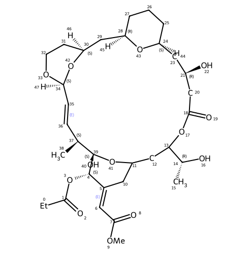 CCC(=O)O[C@H]1/C(=C/C(=O)OC)CC2CC([C@@H](C)O)OC(=O)C[C@H](O)C[C@@H]3CCC[C@H](C[C@@H]4CCO[C@H](/C=C/[C@H](C)[C@]1(O)O2)O4)O3